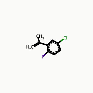 C=C(C)c1cc(Cl)ccc1I